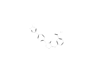 O=C(O)c1cccc(CN2CCN(c3ccc(-c4cn[nH]c4)cn3)C2=O)c1